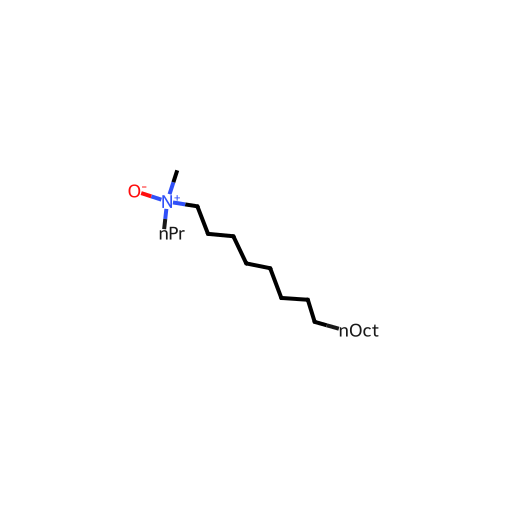 CCCCCCCCCCCCCCCC[N+](C)([O-])CCC